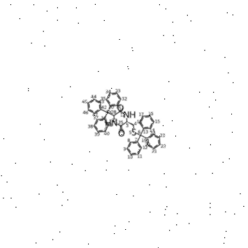 O=C1N[C@@H](CSC(c2ccccc2)(c2ccccc2)c2ccccc2)C(=O)NC1C(c1ccccc1)(c1ccccc1)c1ccccc1